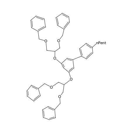 CCCCCc1ccc(-c2cc(OC(COCc3ccccc3)COCc3ccccc3)cc(OC(COCc3ccccc3)COCc3ccccc3)c2)cc1